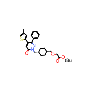 Cc1csc(-c2cc(=O)n(C[C@H]3CC[C@H](COCC(=O)OC(C)(C)C)CC3)nc2-c2ccccc2)c1